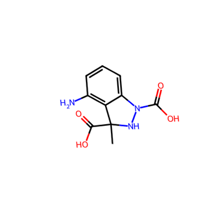 CC1(C(=O)O)NN(C(=O)O)c2cccc(N)c21